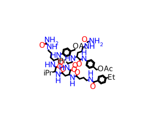 CCc1ccc(C(=O)NCCCC(=O)NC(CC(=O)NC(C(=O)NC(CCCNC(N)=O)C(=O)Nc2ccc(COC(C)=O)cc2)C(C)C)C(=O)NC(C(=O)NC(CCCNC(N)=O)C(=O)Nc2ccc(COC(C)=O)cc2)C(C)C)cc1